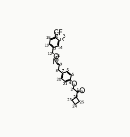 O=C(COc1ccc(CC=NOCc2ccc(C(F)(F)F)cc2)cc1)C1CCC1